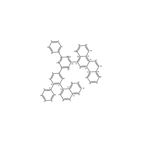 c1ccc(-c2nc(-c3ccc(-c4ccccc4)c(-c4cccc5ccccc45)c3)nc(-c3cc4c5ccccc5ccc4c4cccnc34)n2)cc1